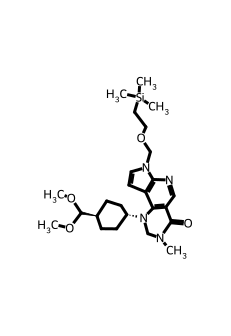 COC(OC)[C@H]1CC[C@H](N2CN(C)C(=O)c3cnc4c(ccn4COCC[Si](C)(C)C)c32)CC1